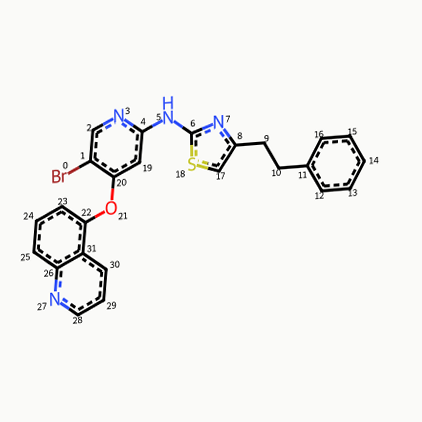 Brc1cnc(Nc2nc(CCc3ccccc3)cs2)cc1Oc1cccc2ncccc12